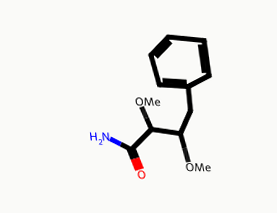 COC(Cc1ccccc1)C(OC)C(N)=O